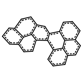 c1cc2ccc3cc4c5cccc6ccc7cccc(c4c4ccc(c1)c2c34)c7c65